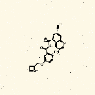 C#Cc1cc(C2(NC(=O)c3cc(OCC4CCN4)ccc3C)CC2)c2cccnc2c1